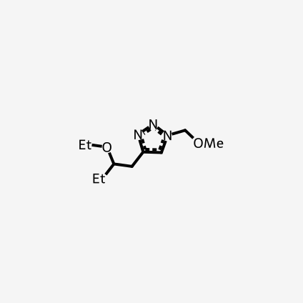 CCOC(CC)Cc1cn(COC)nn1